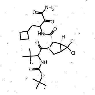 CC(C)(C)OC(=O)N[C@H](C(=O)N1CC2[C@@H]([C@H]1C(=O)NC(CC1CCC1)C(=O)C(N)=O)C2(Cl)Cl)C(C)(C)C